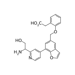 NC(CO)c1cc(-c2cc(COc3ccccc3CC(=O)O)cc3ccoc23)ccn1